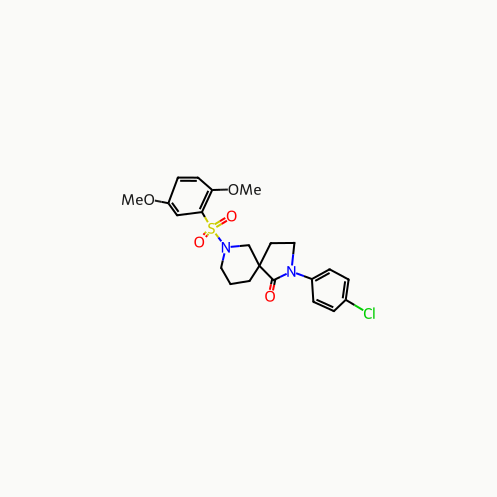 COc1ccc(OC)c(S(=O)(=O)N2CCCC3(CCN(c4ccc(Cl)cc4)C3=O)C2)c1